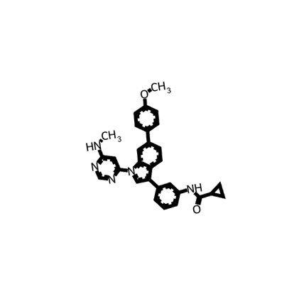 CNc1cc(-n2cc(-c3cccc(NC(=O)C4CC4)c3)c3ccc(-c4ccc(OC)cc4)cc32)ncn1